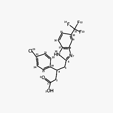 O=C(O)CC(Cc1nc2cc(C(F)(F)F)ccc2[nH]1)c1ccc(Cl)cc1